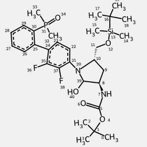 CC(C)(C)OC(=O)N[C@@H]1C[C@@H](CO[Si](C)(C)C(C)(C)C)N(c2ccc(-c3ccccc3P(C)(C)=O)c(F)c2F)C1O